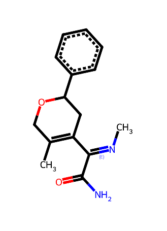 C/N=C(/C(N)=O)C1=C(C)COC(c2ccccc2)C1